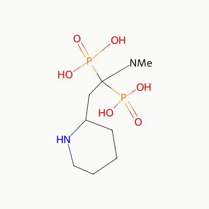 CNC(CC1CCCCN1)(P(=O)(O)O)P(=O)(O)O